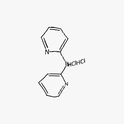 Cl.Cl.c1cc[c]([Bi][c]2ccccn2)nc1